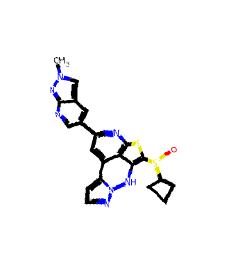 Cn1cc2cc(-c3cc4c5c(n3)sc([S+]([O-])C3CCC3)c5[nH]n3nccc43)cnc2n1